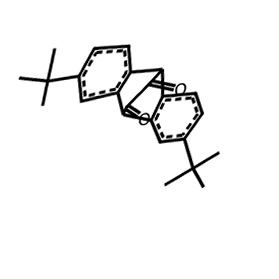 CC(C)(C)c1ccc2c(c1)C1C(=O)C(=O)C2c2ccc(C(C)(C)C)cc21